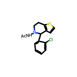 CC(=O)NN1CCc2sccc2C1c1ccccc1Cl